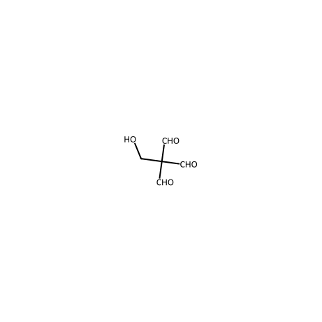 O=CC(C=O)(C=O)CO